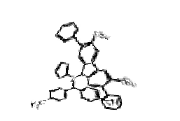 Cc1ccc([C](c2ccc(C)cc2)=[Zr]([C]2=CC=CC2)[CH]2c3cc(-c4ccccc4)c(C(C)(C)C)cc3-c3cc(C(C)(C)C)c(-c4ccccc4)cc32)cc1